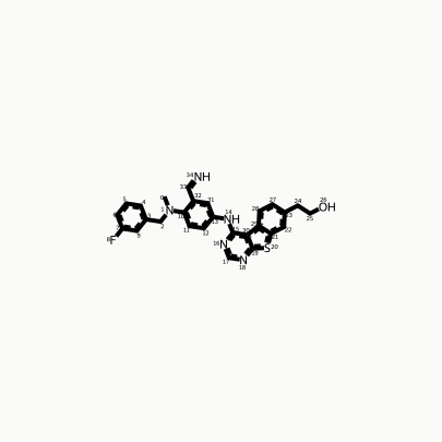 CN(Cc1cccc(F)c1)c1ccc(Nc2ncnc3sc4cc(CCO)ccc4c23)cc1C=N